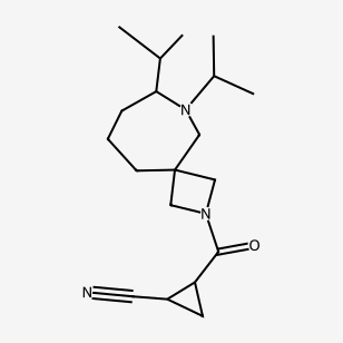 CC(C)C1CCCC2(CN(C(=O)C3CC3C#N)C2)CN1C(C)C